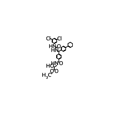 CCOC(=O)C(O)CNC(=O)c1ccc(C(NC(=O)Nc2cc(Cl)cc(Cl)c2)c2ccc(C3=CCCCC3)cc2)cc1